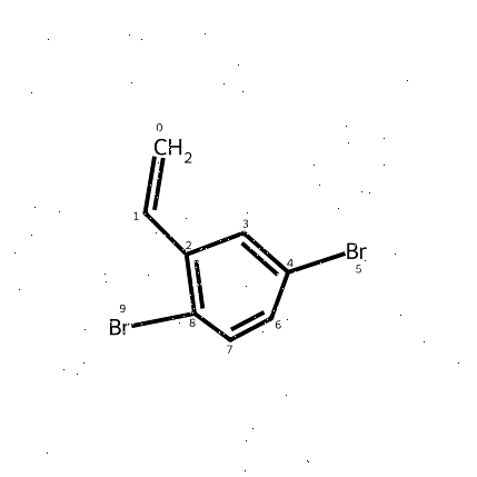 C=Cc1cc(Br)ccc1Br